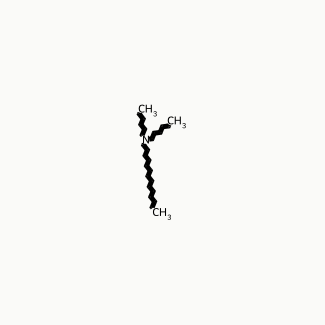 CCCCCCCCCCCCCCN(CCCCCC)CCCCCC